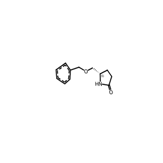 O=C1CC[C@@H](COCc2ccccc2)N1